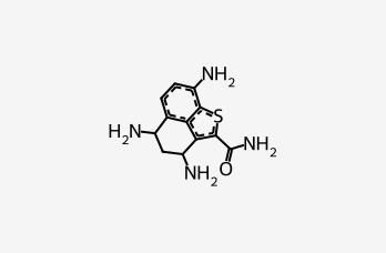 NC(=O)c1sc2c(N)ccc3c2c1C(N)CC3N